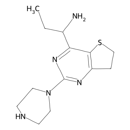 CCC(N)c1nc(N2CCNCC2)nc2c1SCC2